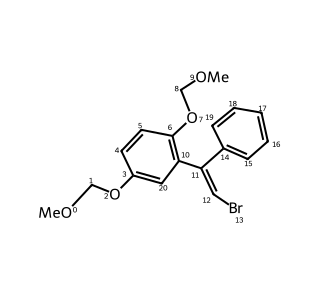 COCOc1ccc(OCOC)c(/C(=C/Br)c2ccccc2)c1